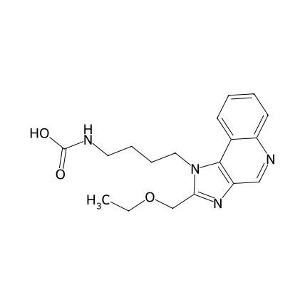 CCOCc1nc2cnc3ccccc3c2n1CCCCNC(=O)O